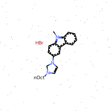 Br.CCCCCCCCN1C=CN(c2ccc3c(c2)c2ccccc2n3C)C1